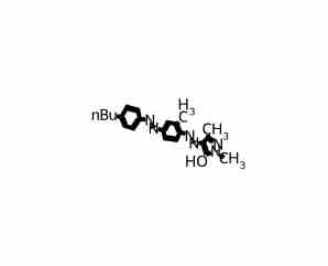 CCCCc1ccc(N=Nc2ccc(N=Nc3c(C)nn(C)c3O)c(C)c2)cc1